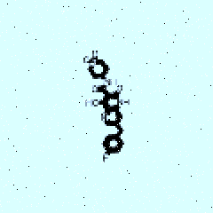 O=C(NC1CCS(=O)(=O)CC1)c1c(O)c2ncc(Cc3ccc(F)cc3)cc2[nH]c1=O